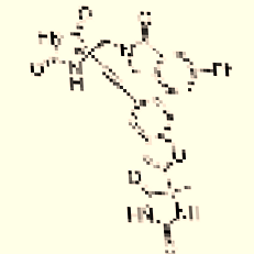 CCc1ccc2c(c1)C(=O)N(C[C@@]1(C#Cc3ccc4oc(C5(C)NC(=O)NC5=O)cc4c3)NC(=O)NC1=O)C2